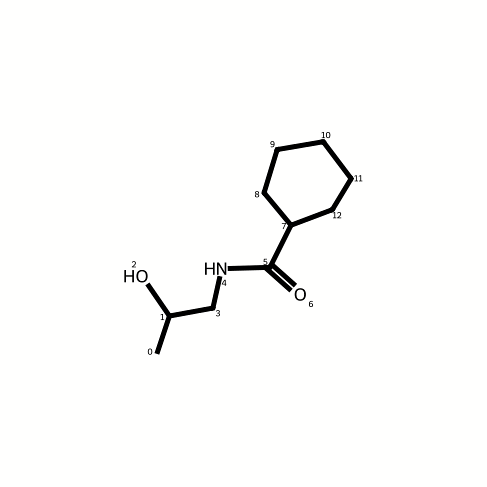 CC(O)CNC(=O)C1CCCCC1